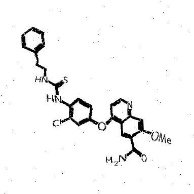 COc1cc2nccc(Oc3ccc(NC(=S)NCCc4ccccc4)c(Cl)c3)c2cc1C(N)=O